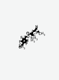 CCS/C(C#N)=C\[C@@H]1[C@@H](C(=O)OCc2c(F)c(F)c(COC)c(F)c2F)C1(C)C